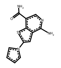 NC(=O)c1cnc(N)c2cc(-n3cccc3)sc12